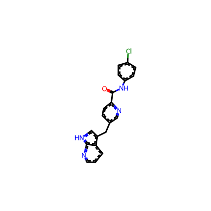 O=C(Nc1ccc(Cl)cc1)c1ccc(Cc2c[nH]c3ncccc23)cn1